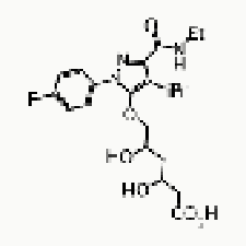 CCNC(=O)c1nn(-c2ccc(F)cc2)c(OCC(O)CC(O)CC(=O)O)c1C(C)C